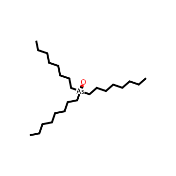 CCCCCCCC[As](=O)(CCCCCCCC)CCCCCCCC